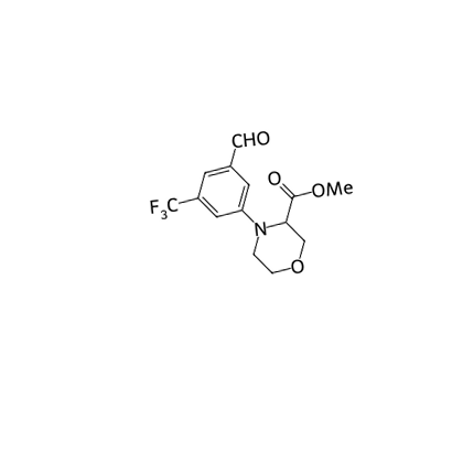 COC(=O)C1COCCN1c1cc(C=O)cc(C(F)(F)F)c1